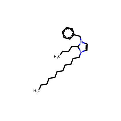 CCCCCCCCCCCN1C=CN(Cc2ccccc2)C1CCCC